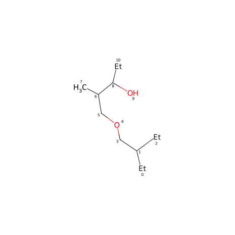 CCC(CC)COCC(C)C(O)CC